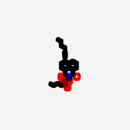 CCCCC#Cc1ccc2c3c(cccc13)C(=O)N(OS(=O)(=O)CCCC)C2=O